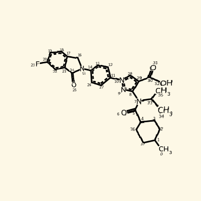 CC1CCC(C(=O)N(c2nn(-c3ccc(N4Cc5ccc(F)cc5C4=O)cc3)cc2C(=O)O)C(C)C)CC1